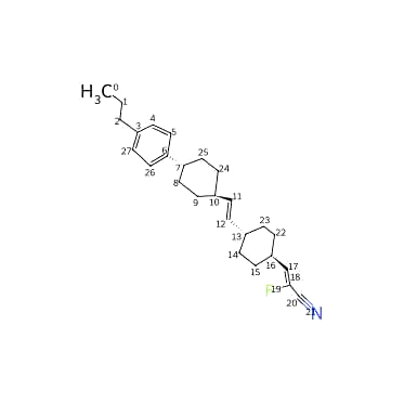 CCCc1ccc([C@H]2CC[C@H](C=C[C@H]3CC[C@H](C=C(F)C#N)CC3)CC2)cc1